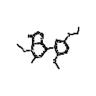 CCSc1ccc(OC)c(-c2cc(C)[n+](OC)c3[nH]ccc23)c1